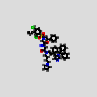 Cc1c(Cl)ccc(S(=O)(=O)N(CCc2ccccc2)CC(=O)NCC(=O)N(CCCCN2CCCC2)CCCc2cncn2C(c2ccccc2)(c2ccccc2)c2ccccc2)c1Cl